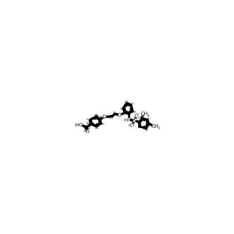 Cc1ccc(S(=O)(=O)Nc2ccccc2OCCOc2ccc(C(=O)O)cc2)c(C)c1